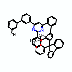 CC1(C)c2ccccc2C2(c3ccccc3-c3ccccc32)c2ccc(-c3ccccc3-c3cc(-c4cccc(-c5cccc(C#N)c5)c4)nc(-c4ccccc4)n3)cc21